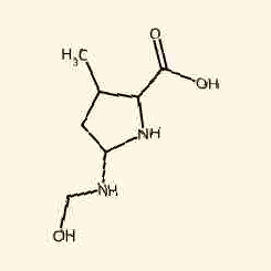 CC1CC(NCO)NC1C(=O)O